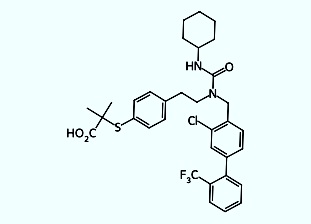 CC(C)(Sc1ccc(CCN(Cc2ccc(-c3ccccc3C(F)(F)F)cc2Cl)C(=O)NC2CCCCC2)cc1)C(=O)O